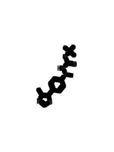 Cc1ncsc1-c1ccc(N(C)NC(=O)OC(C)(C)C)cc1